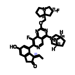 C/C=C1\C(=O)Cc2cc(O)cc(-c3ncc4c(N5C[C@H]6CC[C@@H](C5)N6)nc(OC[C@@]56CCCN5C[C@H](F)C6)nc4c3F)c21